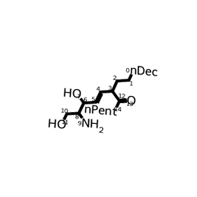 CCCCCCCCCCCCC(C=CC(O)C(N)CO)C(=O)CCCCC